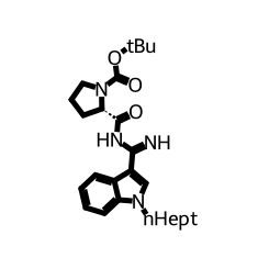 CCCCCCCn1cc(C(=N)NC(=O)[C@@H]2CCCN2C(=O)OC(C)(C)C)c2ccccc21